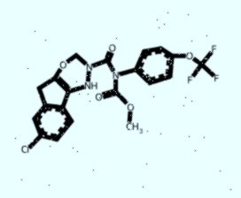 COC(=O)N(C(=O)N1COC2=C(N1)c1ccc(Cl)cc1C2)c1ccc(OC(F)(F)F)cc1